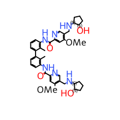 COc1cc(C(=O)Nc2cccc(-c3cccc(NC(=O)c4cc(OC)c(CN[C@H]5CCC[C@@H]5O)cn4)c3C)c2C)ncc1CN[C@H]1CCC[C@@H]1O